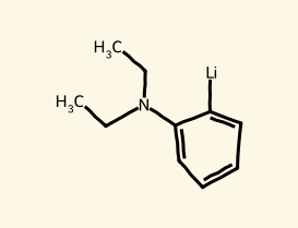 [Li][c]1ccccc1N(CC)CC